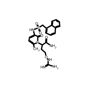 Cc1ccc(NS(=O)(=O)Cc2cccc3ccccc23)c(=O)n1C(CCONC(=N)N)C(N)=O